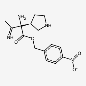 CC(=N)C(N)(C(=O)OCc1ccc([N+](=O)[O-])cc1)[C@H]1CCNC1